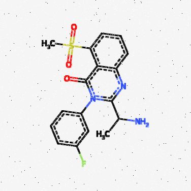 CC(N)c1nc2cccc(S(C)(=O)=O)c2c(=O)n1-c1cccc(F)c1